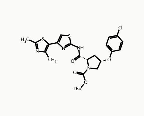 Cc1nc(C)c(-c2csc(NC(=O)[C@@H]3C[C@H](Oc4ccc(Cl)cc4)CN3C(=O)OC(C)(C)C)n2)s1